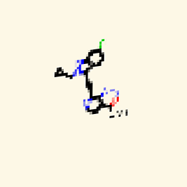 COC(=O)c1ccnc(C#Cc2c3ccc(Cl)cc3nn2CC2CC2)c1N